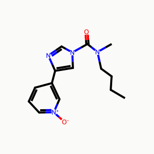 CCCCN(C)C(=O)n1cnc(-c2ccc[n+]([O-])c2)c1